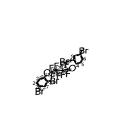 FC(F)(Oc1ccc(Br)cc1Br)C(F)(F)C(F)(F)C(F)(F)Oc1ccc(Br)cc1Br